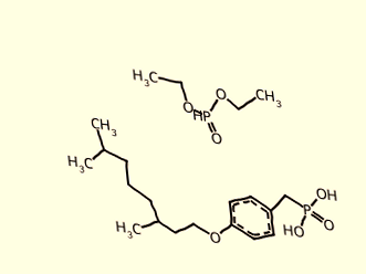 CC(C)CCCC(C)CCOc1ccc(CP(=O)(O)O)cc1.CCO[PH](=O)OCC